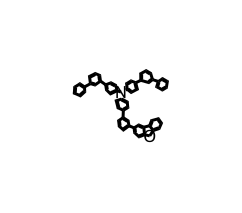 c1ccc(-c2cccc(-c3ccc(N(c4ccc(-c5cccc(-c6ccccc6)c5)cc4)c4ccc(-c5cccc(-c6ccc7oc8ccccc8c7c6)c5)cc4)cc3)c2)cc1